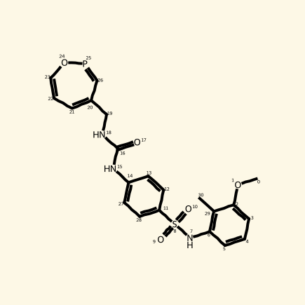 COc1cccc(NS(=O)(=O)c2ccc(NC(=O)NCC3=CC=COP=C3)cc2)c1C